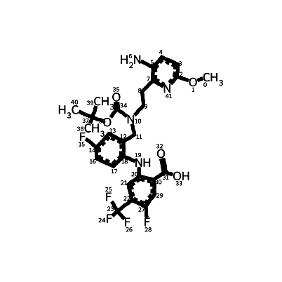 COc1ccc(N)c(CCN(Cc2cc(F)ccc2Nc2cc(C(F)(F)F)c(F)cc2C(=O)O)C(=O)OC(C)(C)C)n1